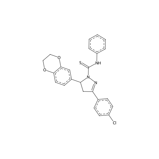 S=C(Nc1ccccc1)N1N=C(c2ccc(Cl)cc2)CC1c1ccc2c(c1)OCCO2